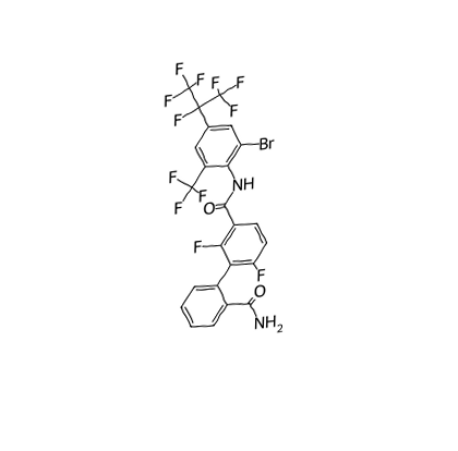 NC(=O)c1ccccc1-c1c(F)ccc(C(=O)Nc2c(Br)cc(C(F)(C(F)(F)F)C(F)(F)F)cc2C(F)(F)F)c1F